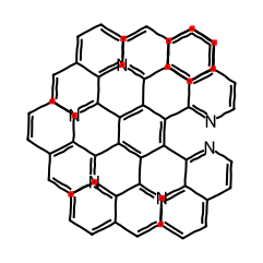 C1=Cc2ccnc(-c3c(-c4nccc5ccccc45)c(-c4nccc5ccccc45)c(-c4nccc5c4CCC=C5)c(-c4nccc5ccccc45)c3-c3nccc4ccccc34)c2CC1